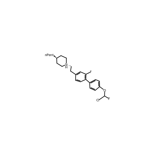 CCCCC[C@H]1CC[Si@H](CCc2ccc(-c3ccc(OC(F)Cl)cc3)c(F)c2)CC1